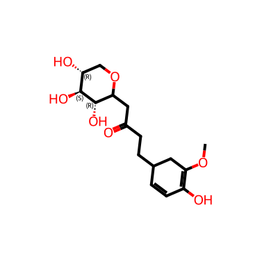 COC1=C(O)C=CC(CCC(=O)CC2OC[C@@H](O)[C@H](O)[C@H]2O)C1